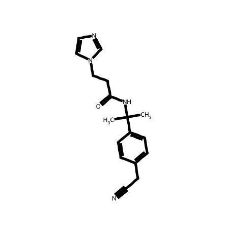 CC(C)(NC(=O)CCn1ccnc1)c1ccc(CC#N)cc1